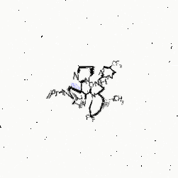 CC(C)N/C=C(\C(=N)C(=O)N1CC(F)(F)C[C@@H](C)C1CNc1ncc(C(F)(F)F)cn1)c1ncccn1